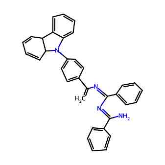 C=C(/N=C(\N=C(/N)c1ccccc1)c1ccccc1)c1ccc(N2c3ccccc3C3C=CC=CC32)cc1